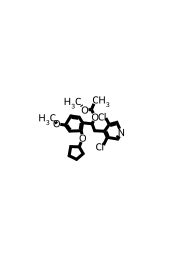 COc1ccc(C(Cc2c(Cl)cncc2Cl)OC(C)OC)c(OC2CCCC2)c1